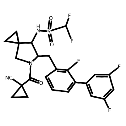 N#CC1(C(=O)N2CC3(CC3)C(NS(=O)(=O)C(F)F)C2Cc2cccc(-c3cc(F)cc(F)c3)c2F)CC1